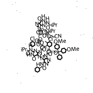 COc1ccc(C(OC[C@@H]2O[C@@H](n3cnc4c(NC(=O)c5ccccc5)ncnc43)C[C@H]2c2c[c]c(Cl)c(C)c2[C@H]2O[C@@H](n3cnc4c(=O)[nH]c(NC(=O)C(C)C)nc43)C[C@@H]2OP(=O)(OC[C@H]2O[C@@H](n3cnc4c(=O)[nH]c(NC(=O)C(C)C)nc43)C[C@@H]2OP(OCCC#N)N(C(C)C)C(C)C)Oc2ccccc2Cl)(c2ccccc2)c2ccc(OC)cc2)cc1